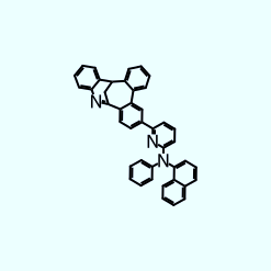 c1ccc(N(c2cccc(-c3ccc4c(c3)-c3ccccc3C3CC4=Nc4ccccc43)n2)c2cccc3ccccc23)cc1